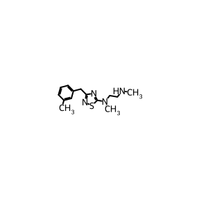 CNCCN(C)c1nc(Cc2cccc(C)c2)ns1